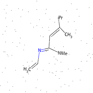 C=C/N=C(/C=C(\C)C(C)C)NC